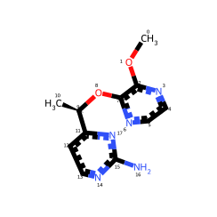 COc1nccnc1O[C@H](C)c1ccnc(N)n1